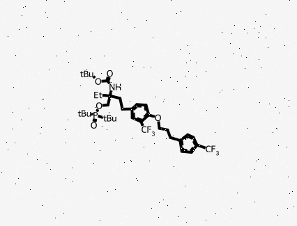 CCC(CCc1ccc(OCCCc2ccc(C(F)(F)F)cc2)c(C(F)(F)F)c1)(COP(=O)(C(C)(C)C)C(C)(C)C)NC(=O)OC(C)(C)C